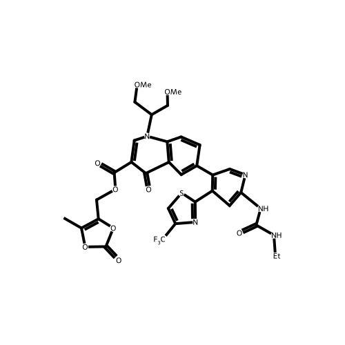 CCNC(=O)Nc1cc(-c2nc(C(F)(F)F)cs2)c(-c2ccc3c(c2)c(=O)c(C(=O)OCc2oc(=O)oc2C)cn3C(COC)COC)cn1